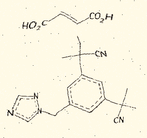 CC(C)(C#N)c1cc(Cn2cncn2)cc(C(C)(C)C#N)c1.O=C(O)C=CC(=O)O